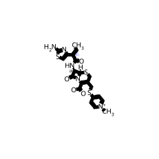 C/C=C(/C(=O)N[C@@H]1C(=O)N2C(C(=O)[O-])=C(CSc3cc[n+](C)cc3)CS[C@H]12)c1csc(N)n1